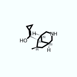 C[C@@H]1C[C@@H]2CNC[C@@H](C2)[C@H]1C(O)=C1CC1